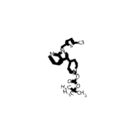 CC(C)(C)OC(=O)ON1CCC(c2cn(Cc3ccc(Cl)s3)c3ncccc23)CC1